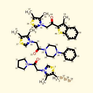 Cc1sc[n+](CC(=O)N2CCCC2)c1C.Cc1sc[n+](CC(=O)N2CCN(c3ccccc3)CC2)c1C.Cc1sc[n+](CC(=O)c2sc3ccccc3c2C)c1C.[Br-].[Br-].[Br-]